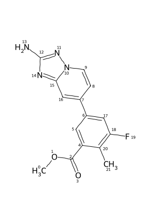 COC(=O)c1cc(-c2ccn3nc(N)nc3c2)cc(F)c1C